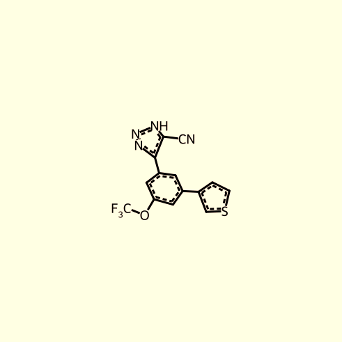 N#Cc1[nH]nnc1-c1cc(OC(F)(F)F)cc(-c2ccsc2)c1